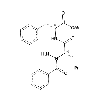 COC(=O)[C@@H](Cc1ccccc1)NC(=O)[C@H](CC(C)C)N(N)C(=O)c1ccccc1